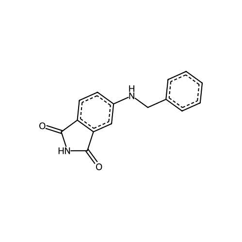 O=C1NC(=O)c2cc(NCc3ccccc3)ccc21